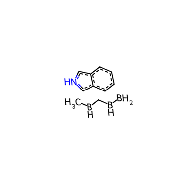 BBCBC.c1ccc2c[nH]cc2c1